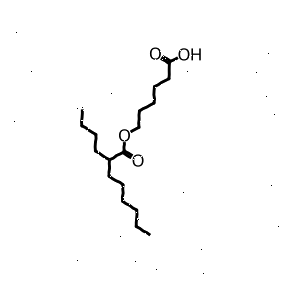 CCCCCCC(CCCC)C(=O)OCCCCCC(=O)O